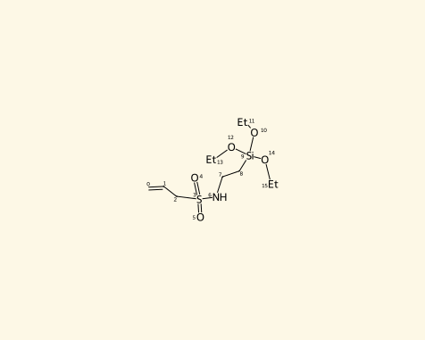 C=CCS(=O)(=O)NCC[Si](OCC)(OCC)OCC